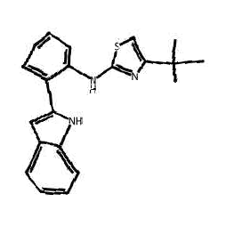 CC(C)(C)c1csc(Nc2ccccc2-c2cc3ccccc3[nH]2)n1